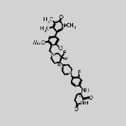 COc1cc(-c2cn(C)c(=O)c(C)c2C)cc(Cl)c1CN1CC[C@H](C2CCN(c3ccc(N[C@H]4CCC(=O)NC4=O)cc3F)CC2)C(F)(F)C1